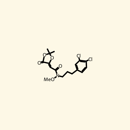 CON(CCCc1ccc(Cl)c(Cl)c1)C(=O)/C=C1\OC(C)(C)OC1=O